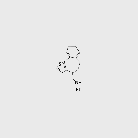 CCNCC1CCc2ccccc2-c2sccc21